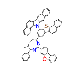 CC1CC/C(c2cc(-n3c4cc5ccccc5cc4c4ccc5ccccc5c43)c3sc4c5ccccc5ccc4c3c2)=N\C(c2ccc3c(c2)oc2ccccc23)=N/C1c1ccccc1